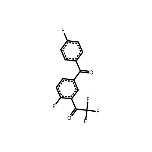 O=C(c1ccc(F)cc1)c1ccc(F)c(C(=O)C(F)(F)F)c1